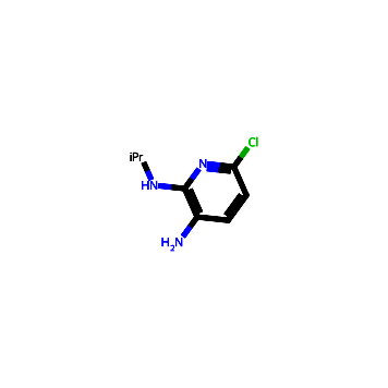 CC(C)Nc1nc(Cl)ccc1N